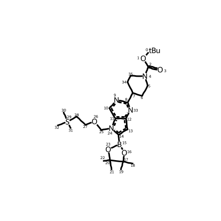 CC(C)(C)OC(=O)N1CCC(c2ncc3c(cc(B4OC(C)(C)C(C)(C)O4)n3COCCS(C)(C)C)n2)CC1